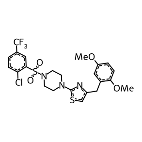 COc1ccc(OC)c(Cc2csc(N3CCN(S(=O)(=O)c4cc(C(F)(F)F)ccc4Cl)CC3)n2)c1